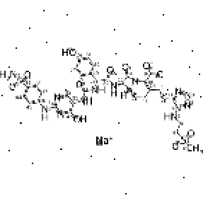 CS(=O)(=O)CCNn1nnnc1SCC1=C(C(=O)[O-])N2C(=O)C(NC(=O)C(NC(=O)Nc3cnc(Nc4ccc(S(N)(=O)=O)cc4)nc3O)c3ccc(O)cc3)[C@@H]2SC1.[Na+]